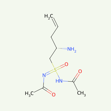 C=CC[C@H](N)CS(=O)(=NC(C)=O)NC(C)=O